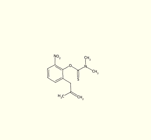 C=C(C)Cc1cccc([N+](=O)[O-])c1OC(=S)N(C)C